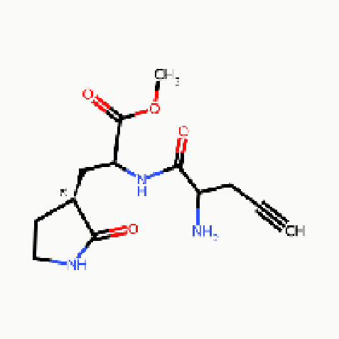 C#CCC(N)C(=O)NC(C[C@@H]1CCNC1=O)C(=O)OC